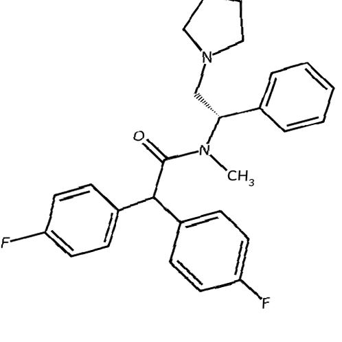 CN(C(=O)C(c1ccc(F)cc1)c1ccc(F)cc1)[C@H](CN1CCCC1)c1ccccc1